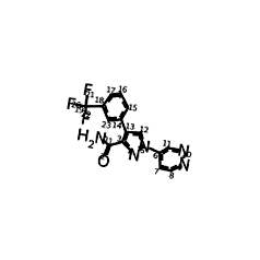 NC(=O)c1nn(-c2ccnnc2)cc1-c1cccc(C(F)(F)F)c1